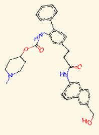 CN1CCC(OC(=O)Nc2cc(CCC(=O)Nc3ccc4cc(CO)ccc4c3)ccc2-c2ccccc2)CC1